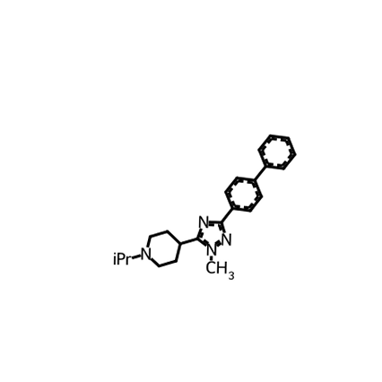 CC(C)N1CCC(c2nc(-c3ccc(-c4ccccc4)cc3)nn2C)CC1